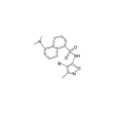 Cc1noc(NS(=O)(=O)c2cccc3c(N(C)C)cccc23)c1Br